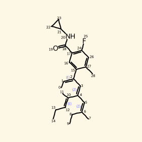 C\C=C(/C=C(/C=C(/C)CC)C(\C)=C\CC)c1cc(C(=O)NC2CC2)c(F)cc1C